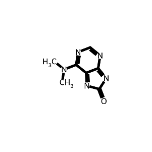 CN(C)c1ncnc2c1=NC(=O)N=2